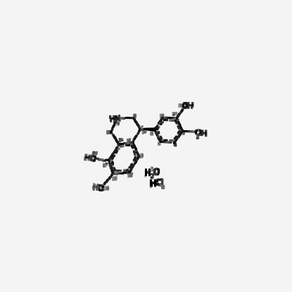 Cl.O.Oc1ccc([C@@H]2CNCc3c2ccc(O)c3O)cc1O